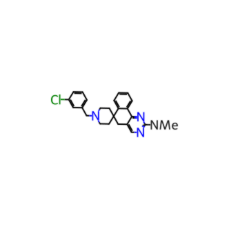 CNc1ncc2c(n1)-c1ccccc1C1(CCN(Cc3cccc(Cl)c3)CC1)C2